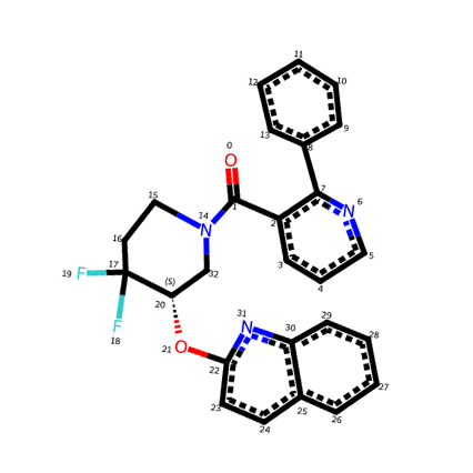 O=C(c1cccnc1-c1ccccc1)N1CCC(F)(F)[C@@H](Oc2ccc3ccccc3n2)C1